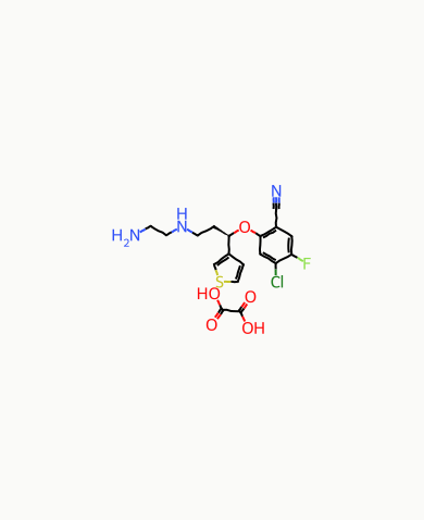 N#Cc1cc(F)c(Cl)cc1O[C@H](CCNCCN)c1ccsc1.O=C(O)C(=O)O